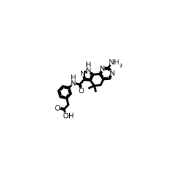 CC1(C)Cc2cnc(N)nc2-c2[nH]nc(C(=O)Nc3cccc(CC(=O)O)c3)c21